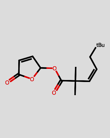 CC(C)(C)C/C=C\C(C)(C)C(=O)OC1C=CC(=O)O1